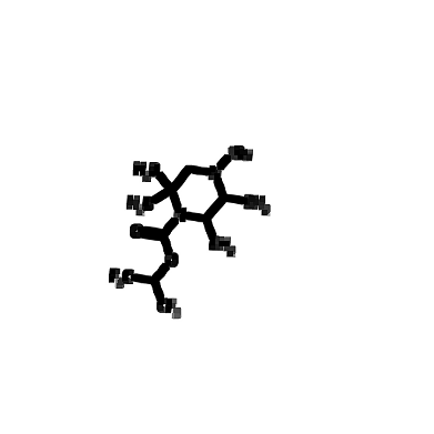 BC1C(B)N(C(=O)OC(C(F)(F)F)C(F)(F)F)C(B)(B)CN1C(C)(C)C